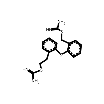 N=C(N)SCCc1ccccc1Sc1ccccc1CSC(=N)N